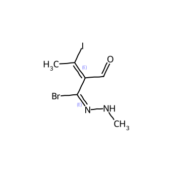 CN/N=C(Br)\C(C=O)=C(/C)I